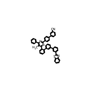 Cc1c(-c2ccccc2)nc(-c2ccc(-c3cccc(C#N)c3)cc2)nc1-c1ccccc1-c1cccc(-c2cccc(-c3nc4ccccc4s3)c2)c1